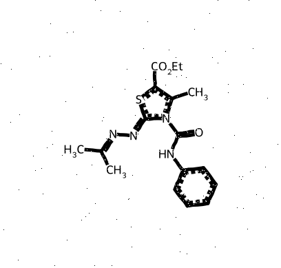 CCOC(=O)c1sc(=NN=C(C)C)n(C(=O)Nc2ccccc2)c1C